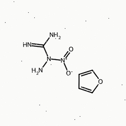 N=C(N)N(N)[N+](=O)[O-].c1ccoc1